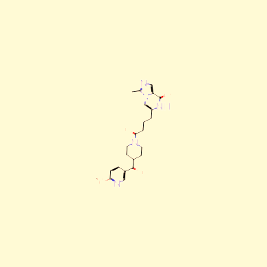 COc1ccc(C(=O)C2CCN(C(=O)CCCc3cn4c(C)ncc4c(=O)[nH]3)CC2)cn1